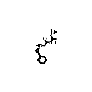 CC(CN(C)C)NC(=O)CNC1CC1c1ccccc1